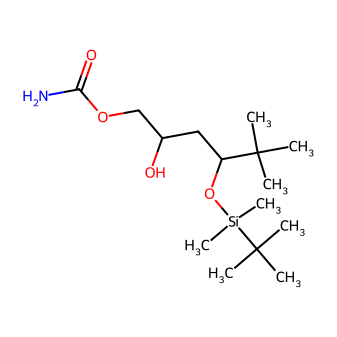 CC(C)(C)C(CC(O)COC(N)=O)O[Si](C)(C)C(C)(C)C